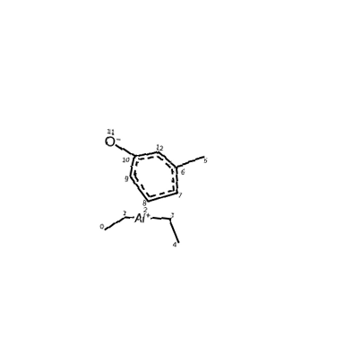 C[CH2][Al+][CH2]C.Cc1cccc([O-])c1